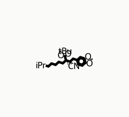 CC(C)CCCCCC(C(=O)OC(C)(C)C)[C@@H](C#N)Cc1ccc2c(c1)OCO2